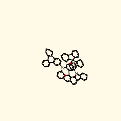 c1ccc(N(c2ccc3c4ccccc4c4ccccc4c3c2)c2cc3c(cc2-c2cccc4ccc5c6ccccc6n(-c6ccccc6)c5c24)-c2ccccc2C32c3ccccc3-c3ccccc32)cc1